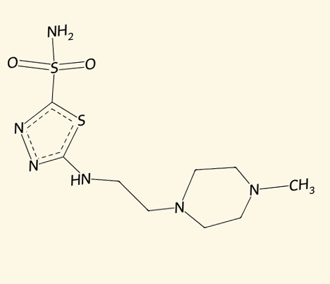 CN1CCN(CCNc2nnc(S(N)(=O)=O)s2)CC1